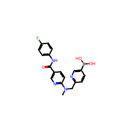 CN(Cc1ccc(B(O)O)cn1)c1ccc(C(=O)Nc2ccc(F)cc2)cn1